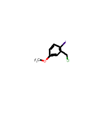 FC(F)(F)Oc1ccc(I)c(CCl)c1